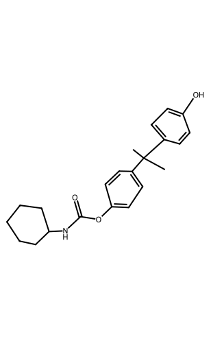 CC(C)(c1ccc(O)cc1)c1ccc(OC(=O)NC2CCCCC2)cc1